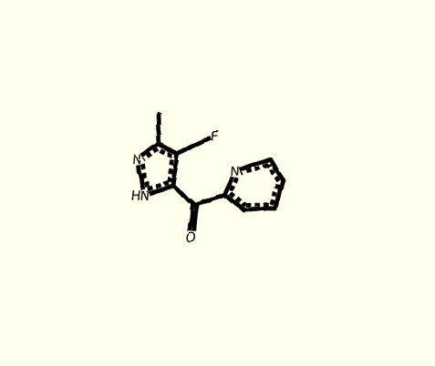 Cc1n[nH]c(C(=O)c2ccccn2)c1F